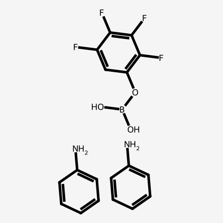 Nc1ccccc1.Nc1ccccc1.OB(O)Oc1cc(F)c(F)c(F)c1F